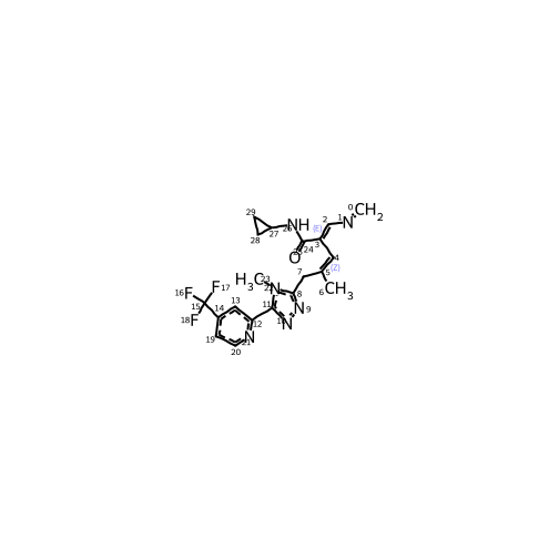 C=N/C=C(\C=C(\C)Cc1nnc(-c2cc(C(F)(F)F)ccn2)n1C)C(=O)NC1CC1